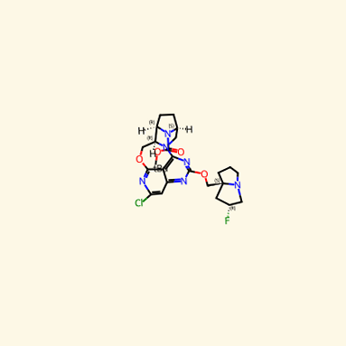 CC(C)(C)OC(=O)N1[C@H]2CC[C@@H]1[C@@H]1COc3nc(Cl)cc4nc(OC[C@@]56CCCN5C[C@H](F)C6)nc(c34)N1C2